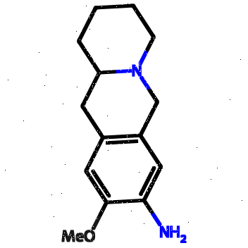 COc1cc2c(cc1N)CN1CCCCC1C2